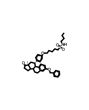 CCCCNS(=O)(=O)CCCCCOc1ccc([C@H]2C[C@]3(C)C(=O)CCC3C3CCc4cc(OCc5ccccc5)ccc4C32)cc1